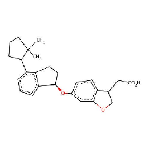 CC1(C)CCCC1c1cccc2c1CC[C@H]2Oc1ccc2c(c1)OCC2CC(=O)O